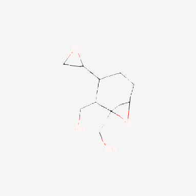 OCC1C(C2CO2)CCC2OC21CO